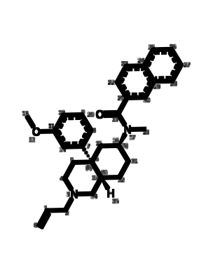 C=CCN1CC[C@@]2(c3cccc(OC)c3)C[C@@H](N(C)C(=O)c3ccc4ccccc4c3)CC[C@@H]2C1